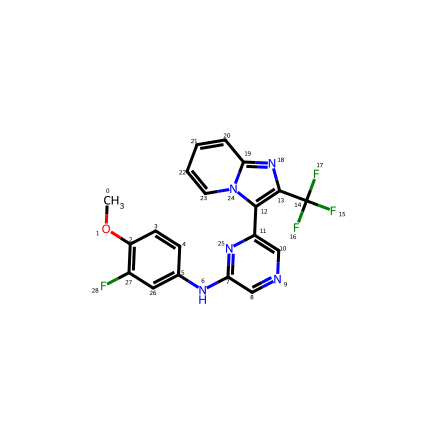 COc1ccc(Nc2cncc(-c3c(C(F)(F)F)nc4ccccn34)n2)cc1F